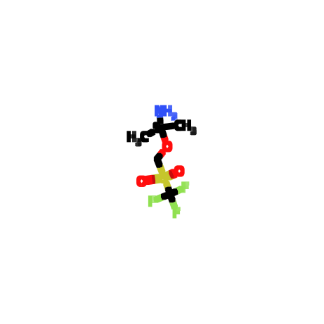 C[Si](C)(N)OCS(=O)(=O)C(F)(F)F